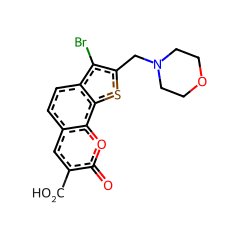 O=C(O)c1cc2ccc3c(Br)c(CN4CCOCC4)sc3c2oc1=O